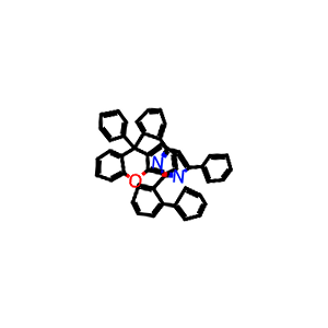 c1ccc(-c2cc(-c3ccccc3C3(c4ccccc4)c4ccccc4Oc4ccccc43)nc(-c3ccccc3-c3ccccc3)n2)cc1